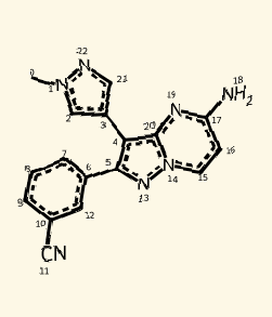 Cn1cc(-c2c(-c3cccc(C#N)c3)nn3ccc(N)nc23)cn1